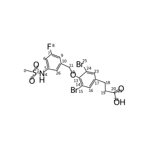 CS(=O)(=O)Nc1cc(F)cc(COc2c(Br)cc(CCC(=O)O)cc2Br)c1